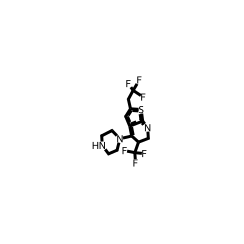 FC(F)(F)Cc1cc2c(s1)=NCC(C(F)(F)F)C=2N1CCNCC1